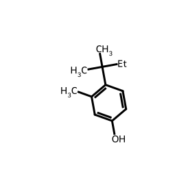 CCC(C)(C)c1ccc(O)cc1C